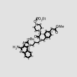 CCCCc1nc2c(N)nc3ccccc3c2n1CCCN(Cc1ccc(CC(=O)OC)cc1)C(=O)CN1CCN(OC(=O)OCC)CC1